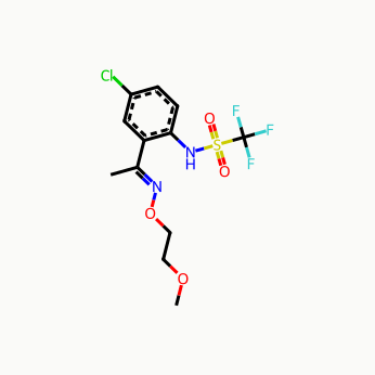 COCCON=C(C)c1cc(Cl)ccc1NS(=O)(=O)C(F)(F)F